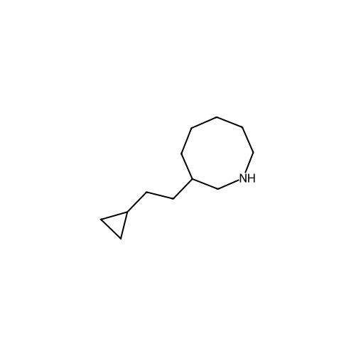 C1CCNCC(CCC2CC2)CC1